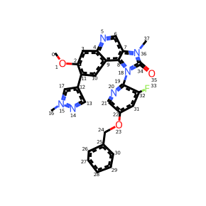 COc1cc2ncc3c(c2cc1-c1cnn(C)c1)n(-c1ncc(OCc2ccccc2)cc1F)c(=O)n3C